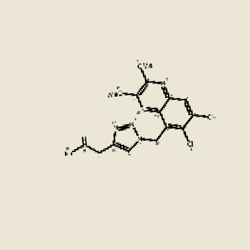 COc1nc2cc(Cl)c(Cl)c(Cn3cc(CNC(C)(C)C)nn3)c2nc1OC